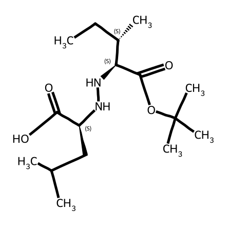 CC[C@H](C)[C@H](NN[C@@H](CC(C)C)C(=O)O)C(=O)OC(C)(C)C